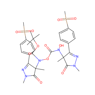 CN1N=C(c2ccc(S(C)(=O)=O)cc2)C(C)(N(O)C(=O)ON(C(=O)OC(C)(C)C)C2(C)C(=O)N(C)N=C2c2ccc(S(C)(=O)=O)cc2)C1=O